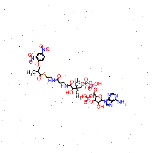 CC(COc1ccc([N+](=O)[O-])cc1[N+](=O)[O-])C(=O)SCCNC(=O)CCNC(=O)C(O)C(C)(C)COP(=O)(O)OP(=O)(O)OCC1OC(n2cnc3c(N)ncnc32)C(O)C1OP(=O)(O)O